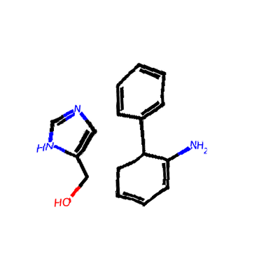 NC1=CC=CCC1c1ccccc1.OCc1cnc[nH]1